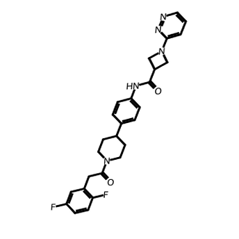 O=C(Nc1ccc(C2CCN(C(=O)Cc3cc(F)ccc3F)CC2)cc1)C1CN(c2cccnn2)C1